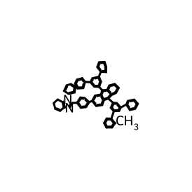 Cc1ccccc1-c1cc(-c2ccccc2)cc(-c2c3ccccc3c(-c3cc(-c4ccccc4)cc(-c4ccccc4)c3)c3cc(-c4ccc(-c5nc6c(n5C5=C=C=CC=C5)CCC=C6)cc4)ccc23)c1